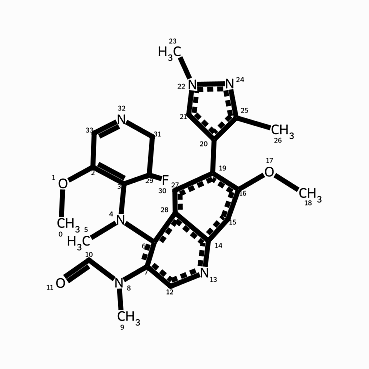 COC1=C(N(C)c2c(N(C)C=O)cnc3cc(OC)c(-c4cn(C)nc4C)cc23)C(F)CN=C1